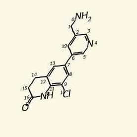 NCc1cncc(-c2cc(Cl)c3c(c2)CCC(=O)N3)c1